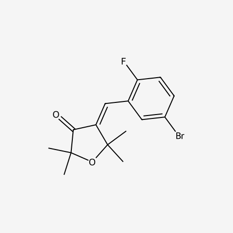 CC1(C)OC(C)(C)C(=Cc2cc(Br)ccc2F)C1=O